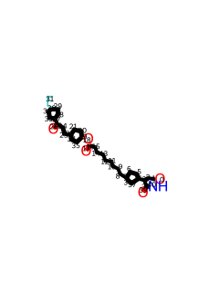 O=C1C=C(c2ccc(CCCCCCCCC(=O)Oc3ccc(C=CC(=O)c4ccc(F)cc4)cc3)cc2)C(=O)N1